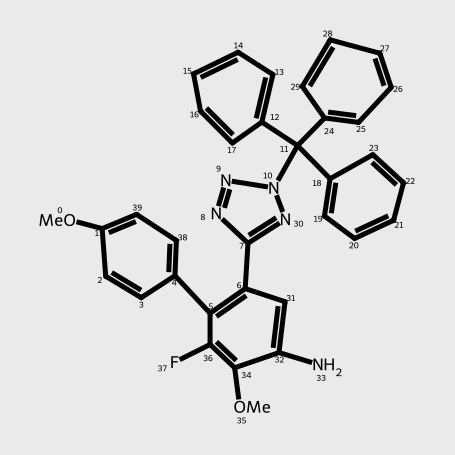 COc1ccc(-c2c(-c3nnn(C(c4ccccc4)(c4ccccc4)c4ccccc4)n3)cc(N)c(OC)c2F)cc1